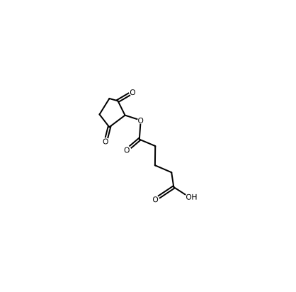 O=C(O)CCCC(=O)OC1C(=O)CCC1=O